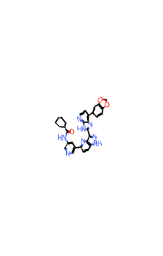 O=C(Nc1cncc(-c2ccc3[nH]nc(-c4nc5c(-c6ccc7c(c6)OCO7)ccnc5[nH]4)c3n2)c1)C1CCCCC1